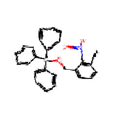 Cc1cccc(CO[Si](c2ccccc2)(c2ccccc2)c2ccccc2)c1[N+](=O)[O-]